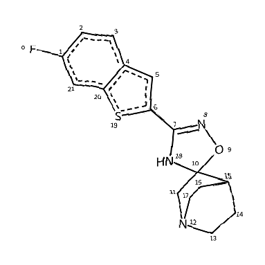 Fc1ccc2cc(C3=NOC4(CN5CCC4CC5)N3)sc2c1